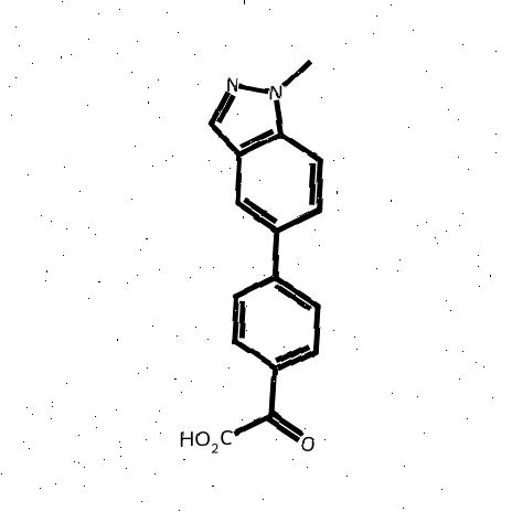 Cn1ncc2cc(-c3ccc(C(=O)C(=O)O)cc3)ccc21